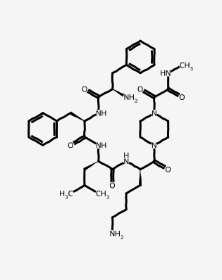 CNC(=O)C(=O)N1CCN(C(=O)[C@@H](CCCCN)NC(=O)[C@@H](CC(C)C)NC(=O)[C@@H](Cc2ccccc2)NC(=O)[C@H](N)Cc2ccccc2)CC1